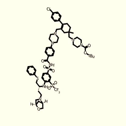 CC1(CN2CCN(C(=O)OC(C)(C)C)CC2)CCC(c2ccc(Cl)cc2)=C(CN2CCN(c3ccc(C(=O)NS(=O)(=O)c4ccc(N[C@H](CCN5C[C@H]6C[C@@H]5CO6)CSc5ccccc5)c(S(=O)(=O)C(F)(F)F)c4)cc3)CC2)C1